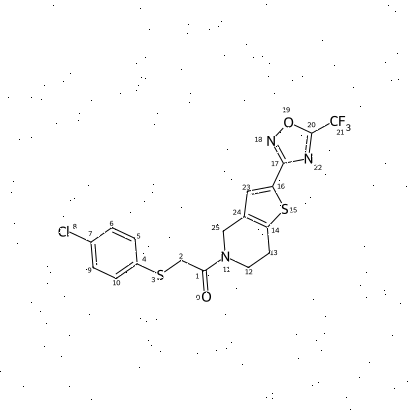 O=C(CSc1ccc(Cl)cc1)N1CCc2sc(-c3noc(C(F)(F)F)n3)cc2C1